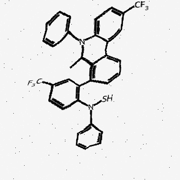 CC1c2c(-c3cc(C(F)(F)F)ccc3N(S)c3ccccc3)cccc2-c2cc(C(F)(F)F)ccc2N1c1ccccc1